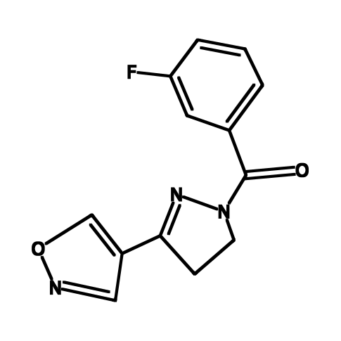 O=C(c1cccc(F)c1)N1CCC(c2cnoc2)=N1